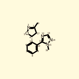 CC1=NO[C@@H](c2ccccc2-c2ncnn2C)C1